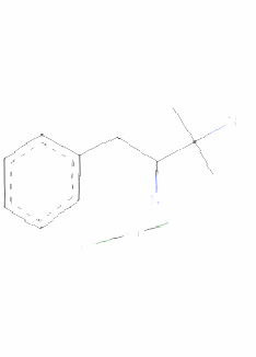 CC(C)(N)C(N)Cc1ccccc1.[Cl][Pt][Cl]